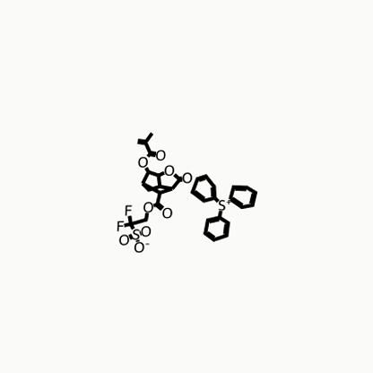 C=C(C)C(=O)OC1C2CC3C1OC(=O)C3C2C(=O)OCC(F)(F)S(=O)(=O)[O-].c1ccc([S+](c2ccccc2)c2ccccc2)cc1